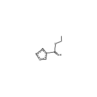 CCOC(=N)c1cnsc1